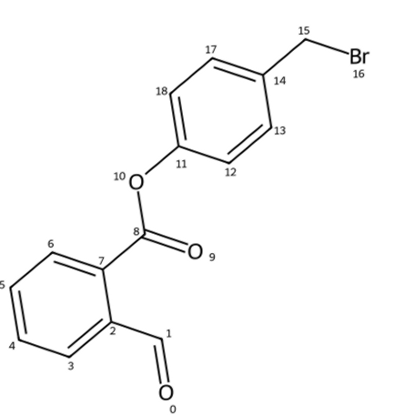 O=Cc1ccccc1C(=O)Oc1ccc(CBr)cc1